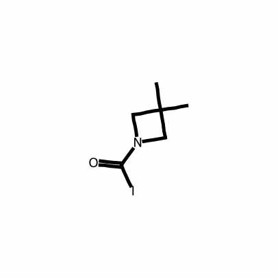 CC1(C)CN(C(=O)I)C1